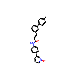 Cc1ccc(-c2cccc(/C=C/C(=O)Nc3ccc(-c4ccc[n+]([O-])c4)cc3)c2)cc1